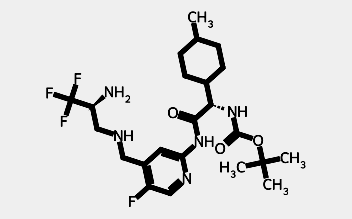 CC1CCC([C@H](NC(=O)OC(C)(C)C)C(=O)Nc2cc(CNC[C@H](N)C(F)(F)F)c(F)cn2)CC1